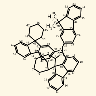 CCC1CC2CCCC(C2)C12c1ccccc1-c1cccc(N(c3ccc4c(c3)C(C)(C)c3ccccc3-4)c3ccc4c(c3)C3(CCCCC3)c3ccccc3-4)c12